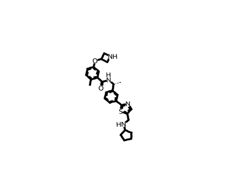 Cc1ccc(OC2CNC2)cc1C(=O)N[C@H](C)c1cccc(-c2ncc(CNC3CCCC3)s2)c1